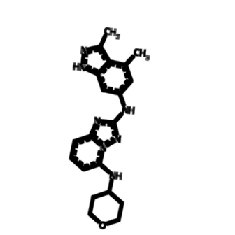 Cc1cc(Nc2nc3cccc(NC4CCOCC4)n3n2)cc2[nH]nc(C)c12